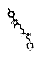 Cc1ccc(-c2nc(CCCC(=O)NCCN3CCOCC3)c(C)o2)cc1